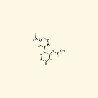 COc1cccc(C2CCOCC2CSO)c1